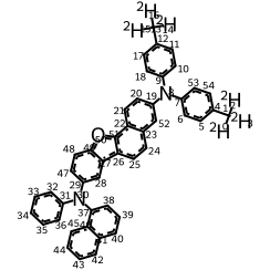 [2H]C([2H])([2H])c1ccc(N(c2ccc(C([2H])([2H])[2H])cc2)c2ccc3c(ccc4c5cc(N(c6ccccc6)c6cccc7ccccc67)ccc5oc34)c2)cc1